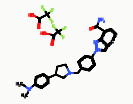 CN(C)c1ccc(C2CCN(Cc3ccc(-n4cc5cccc(C(N)=O)c5n4)cc3)C2)cc1.O=C(O)C(F)(F)F.O=C(O)C(F)(F)F